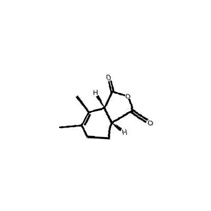 CC1=C(C)[C@@H]2C(=O)OC(=O)[C@@H]2CC1